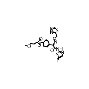 COCCCS(=O)(=O)c1ccc(/C(=N\OCc2nncs2)C(=O)Nc2ncc(F)s2)cc1